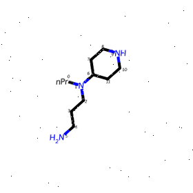 CCCN(CCCN)C1CCNCC1